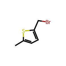 Cc1ccc(CBr)s1